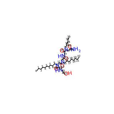 CCCCCCCCCCN(CC(=O)N(CCCCCCCC)CC(=O)NCC(=O)N(CCCCCC)CC(N)=O)C(=O)CNCCO